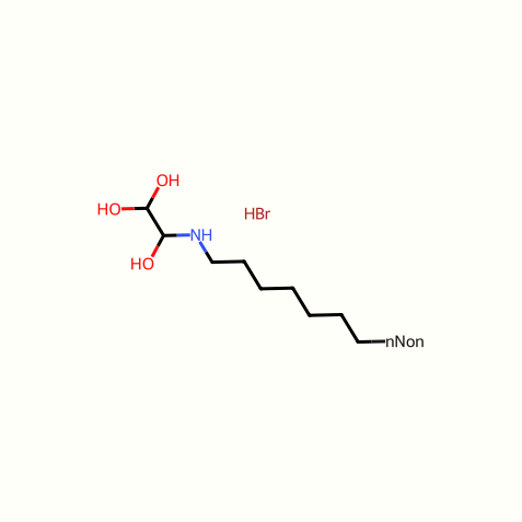 Br.CCCCCCCCCCCCCCCCNC(O)C(O)O